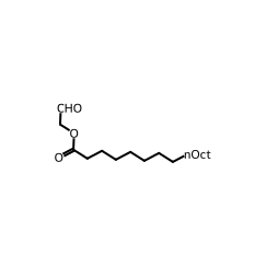 CCCCCCCCCCCCCCCC(=O)OCC=O